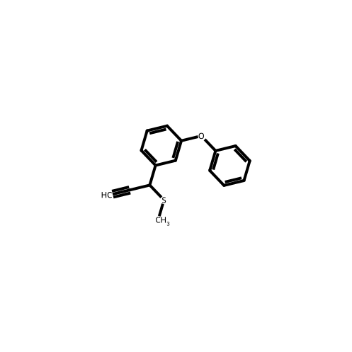 C#CC(SC)c1cccc(Oc2ccccc2)c1